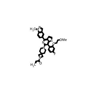 C=CC(=O)N1CC2(CCN(c3nc(-c4ccc5c(cnn5C)c4)c4ccsc4c3-c3ccc(F)cc3OCCOC)CC2)C1